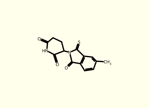 Cc1ccc2c(c1)C(=S)N(C1CCC(=O)NC1=O)C2=O